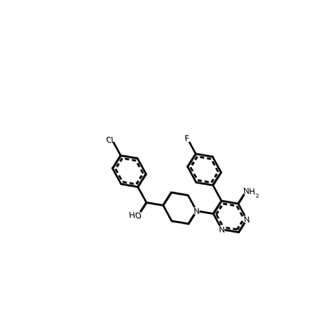 Nc1ncnc(N2CCC(C(O)c3ccc(Cl)cc3)CC2)c1-c1ccc(F)cc1